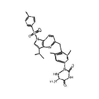 Cc1ccc(S(=O)(=O)n2cc(C(C)C)c3nc(Cc4c(C)cc(N5NC(N)C(=O)NC5=O)cc4C)ccc32)cc1